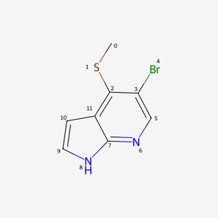 CSc1c(Br)cnc2[nH]ccc12